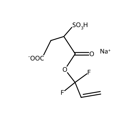 C=CC(F)(F)OC(=O)C(CC(=O)[O-])S(=O)(=O)O.[Na+]